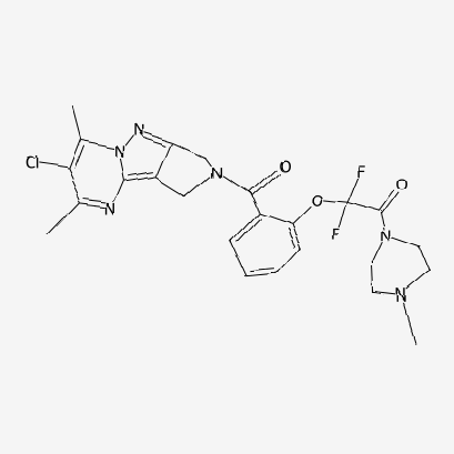 Cc1nc2c3c(nn2c(C)c1Cl)CN(C(=O)c1ccccc1OC(F)(F)C(=O)N1CCN(C)CC1)C3